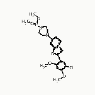 COc1cc(OC)c(-c2cn3ccc(N4CCN(P(OC)OC)CC4)cc3n2)cc1Cl